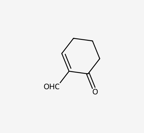 O=CC1=CCCCC1=O